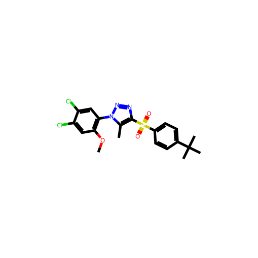 COc1cc(Cl)c(Cl)cc1-n1nnc(S(=O)(=O)c2ccc(C(C)(C)C)cc2)c1C